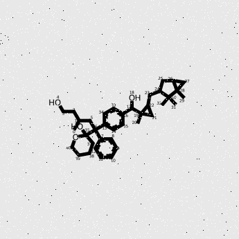 CC(CCO)CC(c1ccccc1)(c1ccc(C(O)C2(C)CC2CC2CC3CC3(C)C2(C)C)cc1)C1(O)CCCCO1